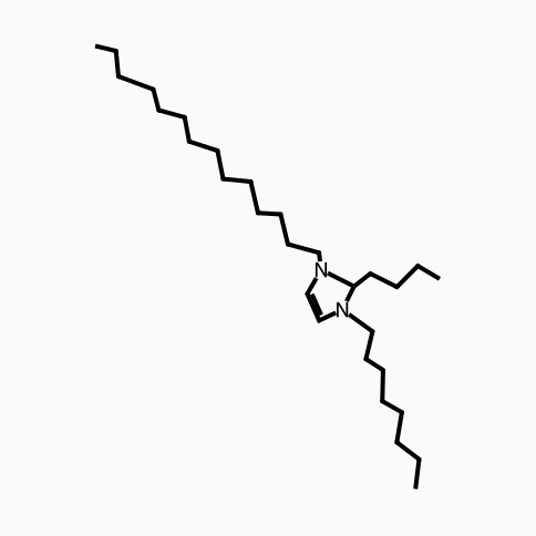 CCCCCCCCCCCCCCN1C=CN(CCCCCCCC)C1CCCC